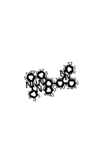 c1ccc2c(c1)nc(-n1c3ccccc3c3cc(-c4ccc5c6ccccc6n6c7ccccc7nc6c5c4)c4ccccc4c31)n1c3ccccc3nc21